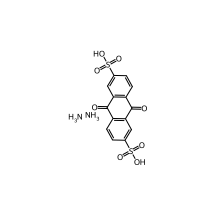 N.N.O=C1c2ccc(S(=O)(=O)O)cc2C(=O)c2ccc(S(=O)(=O)O)cc21